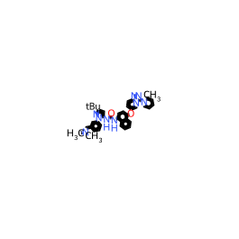 C[C@H]1CCCCN1c1nnc2ccc(O[C@@H]3CC[C@H](NC(=O)Nc4cc(C(C)(C)C)nn4-c4cccc(CN(C)C)c4)c4ccccc43)cn12